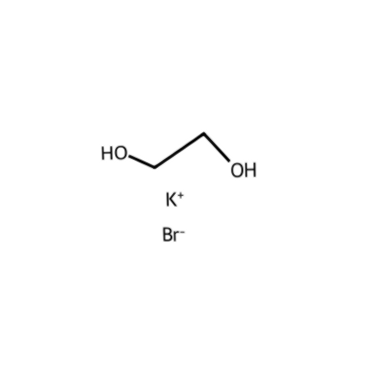 OCCO.[Br-].[K+]